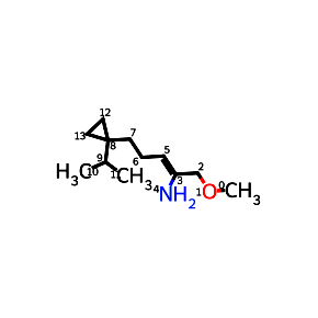 COCC(N)=CCCC1(C(C)C)CC1